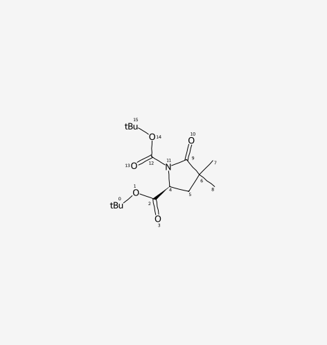 CC(C)(C)OC(=O)[C@@H]1CC(C)(C)C(=O)N1C(=O)OC(C)(C)C